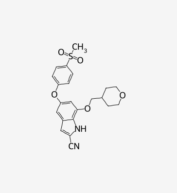 CS(=O)(=O)c1ccc(Oc2cc(OCC3CCOCC3)c3[nH]c(C#N)cc3c2)cc1